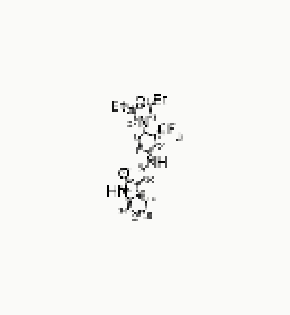 CCC1CN(c2ccc(NCC=C3C(=O)Nc4ccccc43)cc2C(F)(F)F)CC(CC)O1